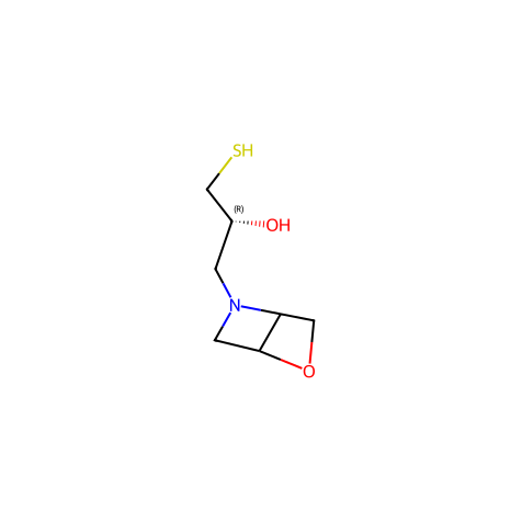 O[C@@H](CS)CN1CC2OCC21